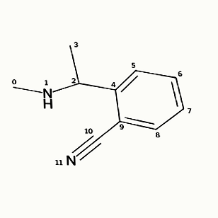 CNC(C)c1ccccc1C#N